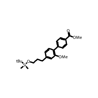 COC(=O)c1ccc(-c2ccc(CCCO[Si](C)(C)C(C)(C)C)cc2OC)cc1